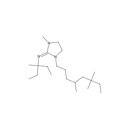 CCC(C)(C)CC(C)CCCN1CCN(C)/C1=N/C(C)(CC)CC